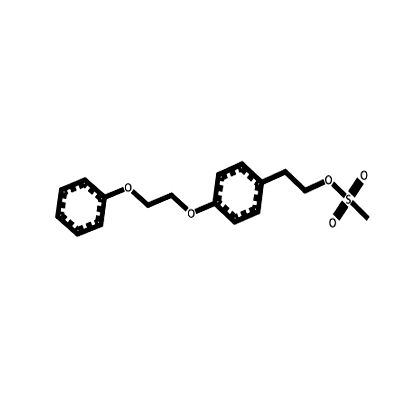 CS(=O)(=O)OCCc1ccc(OCCOc2ccccc2)cc1